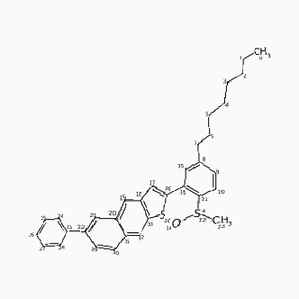 CCCCCCCCc1ccc([S+](C)[O-])c(-c2cc3cc4cc(-c5ccccc5)ccc4cc3s2)c1